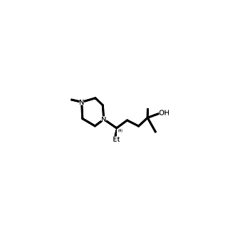 CC[C@H](CCC(C)(C)O)N1CCN(C)CC1